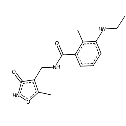 CCNc1cccc(C(=O)NCc2c(C)o[nH]c2=O)c1C